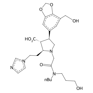 CCCCN(CCCO)C(=O)CN1C[C@H](c2cc(CO)c3c(c2)OCO3)[C@@H](C(=O)O)[C@@H]1CCn1ccnc1